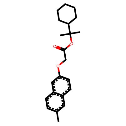 Cc1ccc2cc(OCC(=O)OC(C)(C)C3CCCCC3)ccc2c1